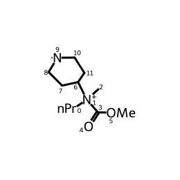 CCC[N+](C)(C(=O)OC)C1CC[N]CC1